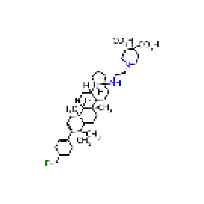 CC1(C)C(C2=CC[C@H](CF)CC2)=CC[C@@]2(C)C1CC[C@]1(C)C2CC[C@@H]2[C@H]3CCC[C@]3(NCCN3CCC(C(=O)O)(C(=O)O)CC3)CC[C@]21C